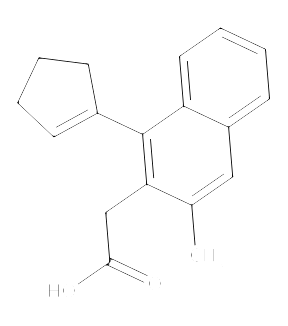 Cc1cc2ccccc2c(C2=CCCC2)c1CC(=O)O